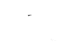 COCCC1CCCC[C@H](C(F)(F)F)C1